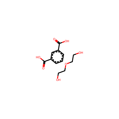 O=C(O)c1cccc(C(=O)O)c1.OCCOCCO